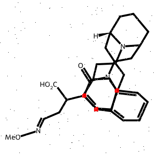 CON=CCC(C(=O)O)c1nc2ccccc2n(C2CC3CCC[C@@H](C2)N3C2CC3CCCC(C3)C2)c1=O